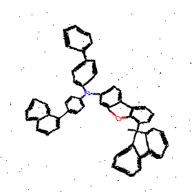 CC1(c2cccc3c2oc2cc(N(c4ccc(-c5ccccc5)cc4)c4ccc(-c5cccc6ccccc56)cc4)ccc23)c2ccccc2-c2ccccc21